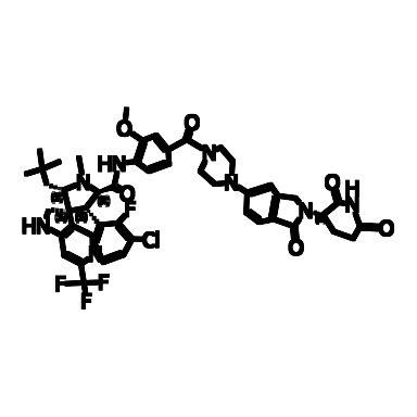 COc1cc(C(=O)N2CCN(c3ccc4c(c3)CN([C@H]3CCC(=O)NC3=O)C4=O)CC2)ccc1NC(=O)[C@H]1[C@H](c2cccc(Cl)c2F)[C@]2(CNc3cc(C(F)(F)F)ncc32)[C@H](CC(C)(C)C)N1C